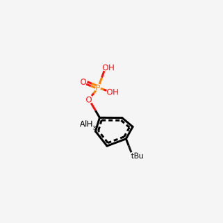 CC(C)(C)c1ccc(OP(=O)(O)O)cc1.[AlH3]